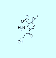 CCOc1ccc(C(=O)CCCO)c(N)c1[N+](=O)[O-]